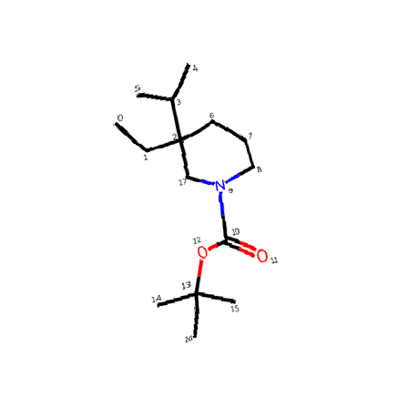 CCC1(C(C)C)CCCN(C(=O)OC(C)(C)C)C1